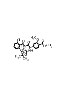 COC(=O)c1ccc(N(NC(=O)OC(C)(C)C)C(=O)NC(=O)c2c(Cl)cccc2Cl)cc1OC